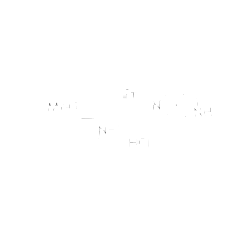 COCCN(C)CCCC(C(C)C)N1CC2(CCNC2)C1.Cl